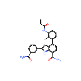 C=CC(=O)Nc1cccc(-c2ccc(C(N)=O)c3[nH]c(-c4cccc(C(N)=O)c4)cc23)c1C